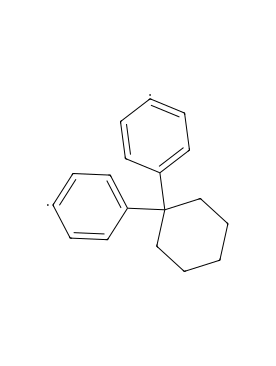 [c]1ccc(C2(c3cc[c]cc3)CCCCC2)cc1